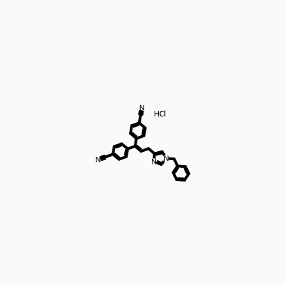 Cl.N#Cc1ccc(C(=CCc2cn(Cc3ccccc3)cn2)c2ccc(C#N)cc2)cc1